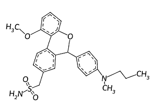 CCCN(C)c1ccc(C2Oc3cccc(OC)c3-c3ccc(CS(N)(=O)=O)cc32)cc1